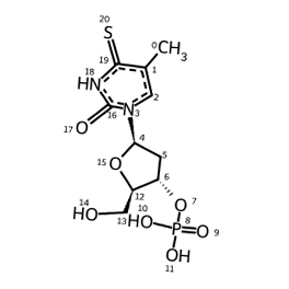 Cc1cn([C@H]2C[C@H](OP(=O)(O)O)[C@@H](CO)O2)c(=O)[nH]c1=S